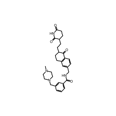 CN1CCN(Cc2cccc(C(=O)NCc3ccc4c(c3)CCC(CCC3CCC(=O)NC3=O)C4=O)c2)CC1